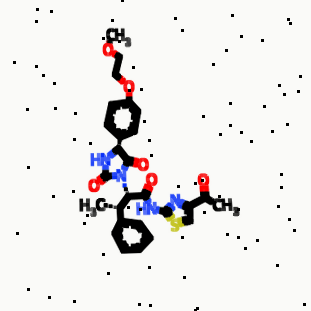 COCCOc1ccc([C@H]2NC(=O)N([C@H](C(=O)Nc3nc(C(C)=O)cs3)[C@@H](C)c3ccccc3)C2=O)cc1